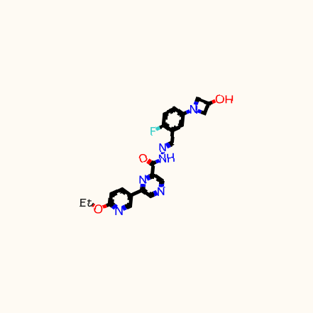 CCOc1ccc(-c2cncc(C(=O)N/N=C/c3cc(N4CC(O)C4)ccc3F)n2)cn1